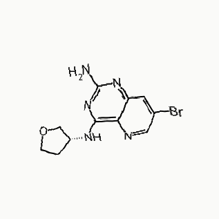 Nc1nc(N[C@@H]2CCOC2)c2ncc(Br)cc2n1